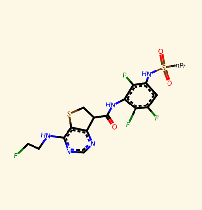 CCCS(=O)(=O)Nc1cc(F)c(F)c(NC(=O)C2CSc3c(NCCF)ncnc32)c1F